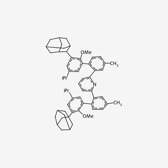 COc1c(-c2ccc(C)cc2-c2cccc(-c3cc(C)ccc3-c3cc(C(C)C)cc(C45CC6CC(CC(C6)C4)C5)c3OC)n2)cc(C(C)C)cc1C1C2CC3CC(C2)CC1C3